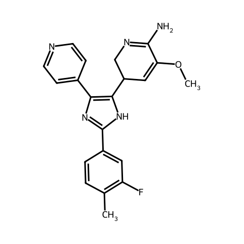 COC1=CC(c2[nH]c(-c3ccc(C)c(F)c3)nc2-c2ccncc2)CN=C1N